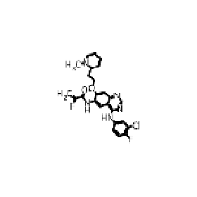 C=C(F)C(=O)Nc1cc2c(Nc3ccc(F)c(Cl)c3)ncnc2cc1OCC[C@@H]1CCCCN1C